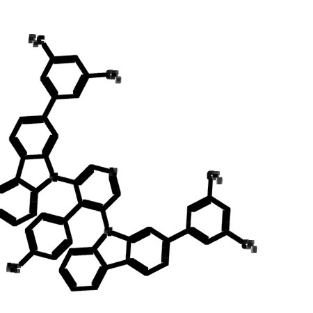 N#Cc1ccc(-c2c(-n3c4ccccc4c4ccc(-c5cc(C(F)(F)F)cc(C(F)(F)F)c5)cc43)cncc2-n2c3ccccc3c3ccc(-c4cc(C(F)(F)F)cc(C(F)(F)F)c4)cc32)cc1